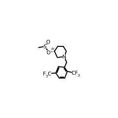 CS(=O)O[C@@H]1CCCN(Cc2cc(C(F)(F)F)ccc2C(F)(F)F)C1